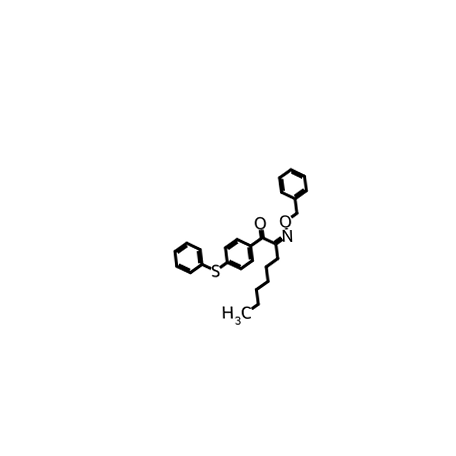 CCCCCCC(=NOCc1ccccc1)C(=O)c1ccc(Sc2ccccc2)cc1